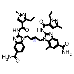 CCc1nn(C)cc1C(=O)Nc1nc2cc(C(N)=O)ccc2n1C/C=C/Cn1c(NC(=O)c2cc(C)nn2CC)nc2cc(C(N)=O)cc(C)c21